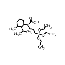 CCO[Si](CCCN(C(=O)O)C1CCCC(C)C1C(C)C)(OCC)OCC